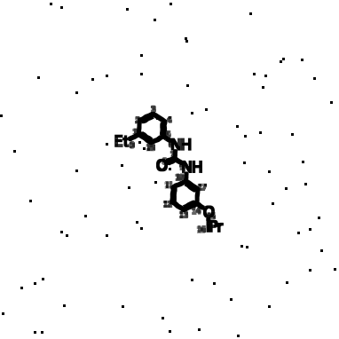 CCc1cccc(NC(=O)Nc2cccc(OC(C)C)c2)c1